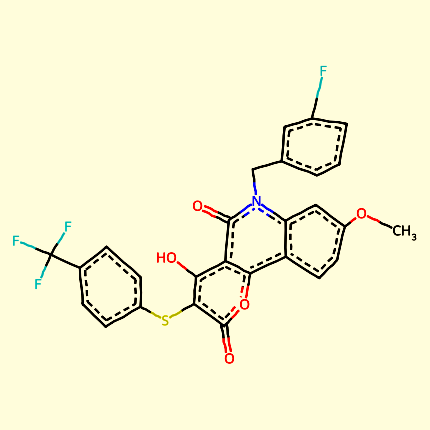 COc1ccc2c3oc(=O)c(Sc4ccc(C(F)(F)F)cc4)c(O)c3c(=O)n(Cc3cccc(F)c3)c2c1